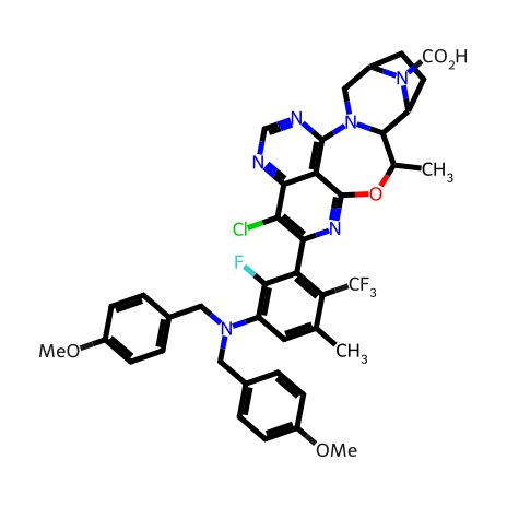 COc1ccc(CN(Cc2ccc(OC)cc2)c2cc(C)c(C(F)(F)F)c(-c3nc4c5c(ncnc5c3Cl)N3CC5CCC(C3C(C)O4)N5C(=O)O)c2F)cc1